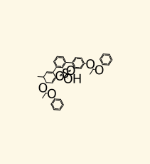 CC(Oc1ccccc1)Oc1ccc(-c2cccc(C3=CC(C)C(OC(C)Oc4ccccc4)C=C3)c2S(=O)(=O)O)cc1